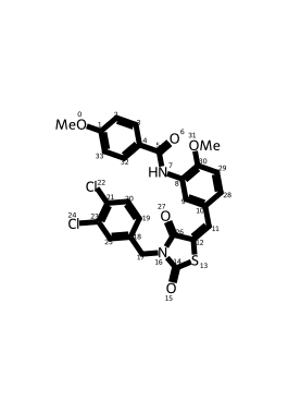 COc1ccc(C(=O)Nc2cc(C=C3SC(=O)N(Cc4ccc(Cl)c(Cl)c4)C3=O)ccc2OC)cc1